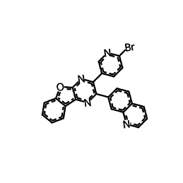 Brc1ccc(-c2nc3oc4ccccc4c3nc2-c2ccc3cccnc3c2)cn1